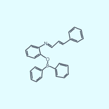 C(=C\c1ccccc1)/C=N/c1ccccc1OB(c1ccccc1)c1ccccc1